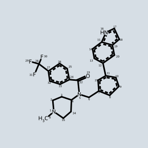 CN1CCC(N(Cc2cccc(-c3ccc4[nH]ccc4c3)c2)C(=O)c2ccc(C(F)(F)F)cc2)CC1